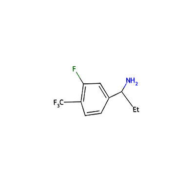 CCC(N)c1ccc(C(F)(F)F)c(F)c1